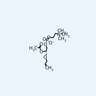 C=CCOC[C@@H](COP(=O)([O-])OCC[N+](C)(C)C)OC(C)=O